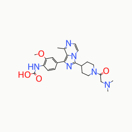 COc1cc(-c2nc(C3CCN(C(=O)CN(C)C)CC3)n3ccnc(C)c23)ccc1NC(=O)O